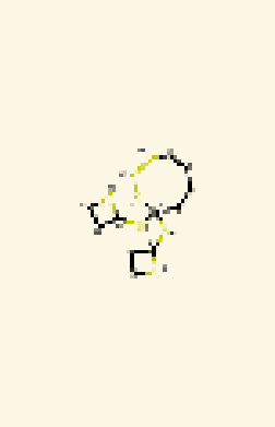 C1C[CH2][Sn]([S]C2CCS2)([S]C2CCS2)[S]SSC1